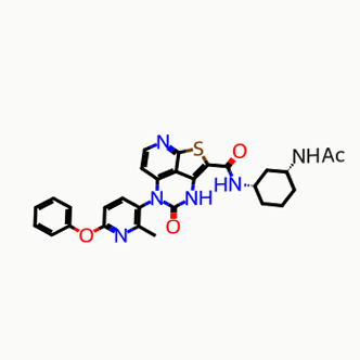 CC(=O)N[C@@H]1CCC[C@H](NC(=O)c2sc3nccc4c3c2NC(=O)N4c2ccc(Oc3ccccc3)nc2C)C1